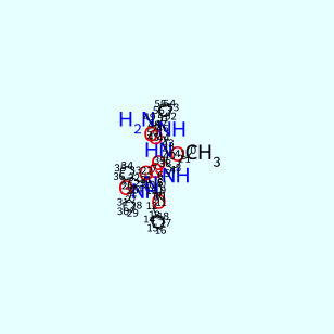 CCCCC(NC(=O)[C@@H]1C[C@@H](OCc2ccccc2)CN1C(=O)C(NC(=O)C1CCCC1)C1CCCCC1)C(=O)C(=O)NCC(=O)NC(C(N)=O)c1ccccc1